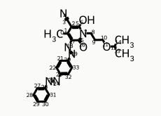 Cc1c(C#N)c(O)n(CCCOC(C)C)c(=O)c1N=Nc1ccc(N=Nc2ccccc2)cc1